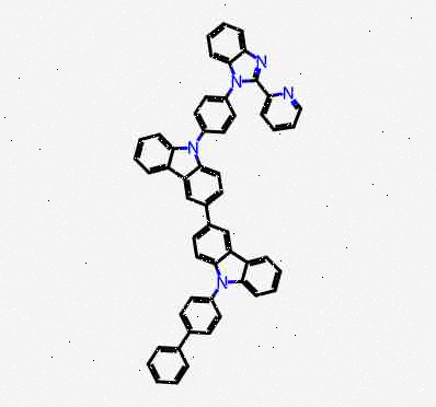 c1ccc(-c2ccc(-n3c4ccccc4c4cc(-c5ccc6c(c5)c5ccccc5n6-c5ccc(-n6c(-c7ccccn7)nc7ccccc76)cc5)ccc43)cc2)cc1